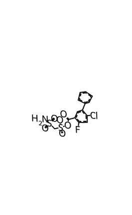 NS(=O)(=O)CS(=O)(=O)OC(=O)c1cc(-c2ccccc2)c(Cl)cc1F